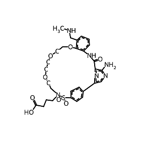 CNCc1cccc2c1OCCOCCOCCN(CCCC(=O)O)S(=O)(=O)c1ccc(cc1)-c1cnc(N)c(n1)C(=O)N2